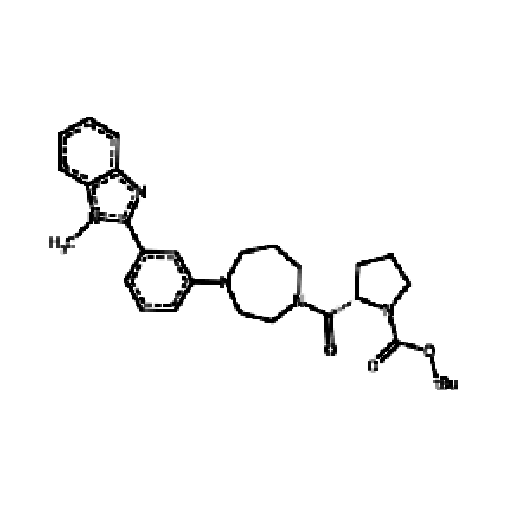 Cn1c(-c2cccc(N3CCCN(C(=O)[C@@H]4CCCN4C(=O)OC(C)(C)C)CC3)c2)nc2ccccc21